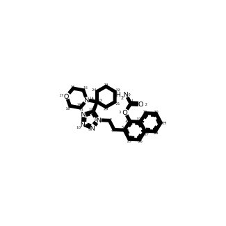 NC(=O)Oc1c(CCn2nnnc2C2(N3CCOCC3)CCCCC2)ccc2ccccc12